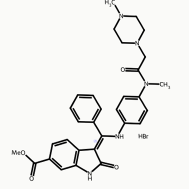 Br.COC(=O)c1ccc2c(c1)NC(=O)/C2=C(\Nc1ccc(N(C)C(=O)CN2CCN(C)CC2)cc1)c1ccccc1